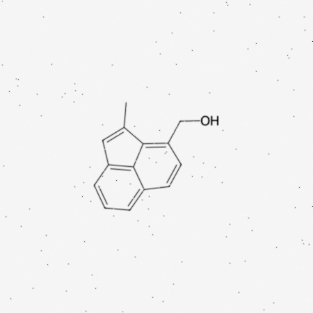 CC1=Cc2cccc3ccc(CO)c1c23